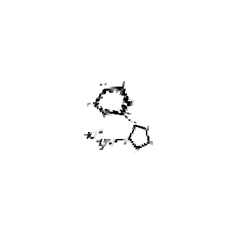 Cl.N[C@@H]1CCC[C@H]1c1ccccc1